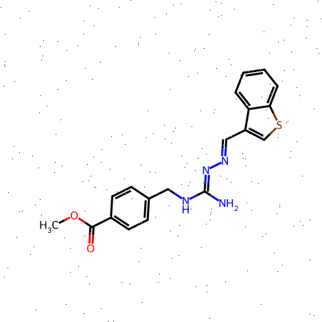 COC(=O)c1ccc(CN/C(N)=N/N=C/c2csc3ccccc23)cc1